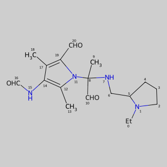 CCN1CCCC1CNC(C)(C=O)n1c(C)c(NC=O)c(C)c1C=O